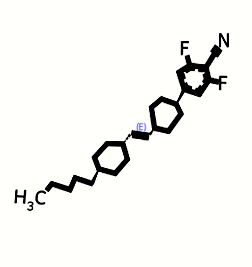 CCCCC[C@H]1CC[C@H](/C=C/[C@H]2CC[C@H](c3cc(F)c(C#N)c(F)c3)CC2)CC1